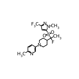 Cc1ccc(N2CCC(C(C)(F)S(=O)(=O)c3cc(C(F)(F)F)nn3C)CC2)cn1